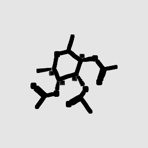 CC(=O)O[C@@H]1[C@H](OC(C)=O)[C@H](C)OC(C)[C@H]1OC(C)=O